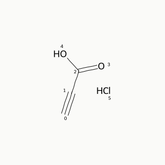 C#CC(=O)O.Cl